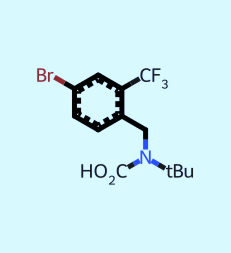 CC(C)(C)N(Cc1ccc(Br)cc1C(F)(F)F)C(=O)O